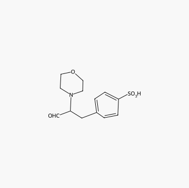 O=CC(Cc1ccc(S(=O)(=O)O)cc1)N1CCOCC1